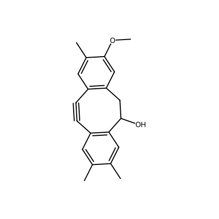 COc1cc2c(cc1C)C#Cc1cc(C)c(C)cc1C(O)C2